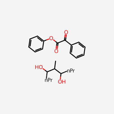 CCCC(O)C(C)C(O)CCC.O=C(Oc1ccccc1)C(=O)c1ccccc1